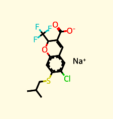 CC(C)CSc1cc2c(cc1Cl)C=C(C(=O)[O-])C(C(F)(F)F)O2.[Na+]